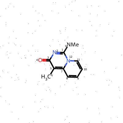 CNc1nc(=O)c(C)c2ccccn12